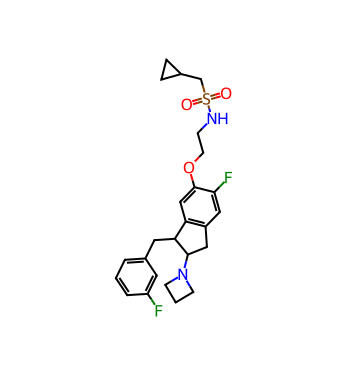 O=S(=O)(CC1CC1)NCCOc1cc2c(cc1F)CC(N1CCC1)C2Cc1cccc(F)c1